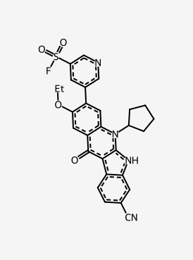 CCOc1cc2c(=O)c3c4ccc(C#N)cc4[nH]c3n(C3CCCC3)c2cc1-c1cncc(S(=O)(=O)F)c1